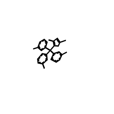 CC1=CC(C)=C(C(c2cccc(C)c2)(c2cccc(C)c2)c2cccc(C)c2)C1